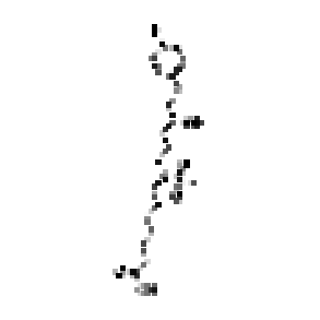 CS(=O)(=O)N(CCCCCCC(=O)O)CCCC(O)CSc1ccc(F)cc1